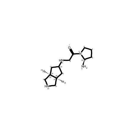 N[C@@H]1CCCN1C(=O)CNC1C[C@H]2CNC[C@H]2C1